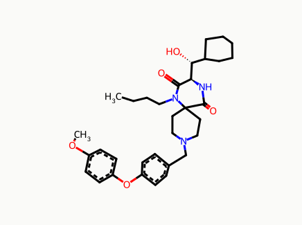 CCCCN1C(=O)[C@@H]([C@H](O)C2CCCCC2)NC(=O)C12CCN(Cc1ccc(Oc3ccc(OC)cc3)cc1)CC2